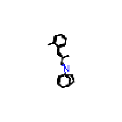 CC(/C=N/C12C=CCC(CC1)C2)=C\c1ccccc1C